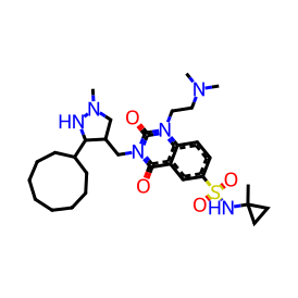 CN(C)CCn1c(=O)n(CC2CN(C)NC2C2CCCCCCCC2)c(=O)c2cc(S(=O)(=O)NC3(C)CC3)ccc21